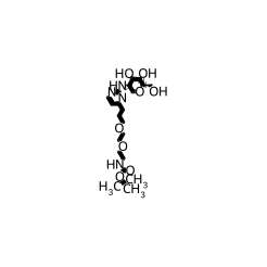 CC(C)(C)OC(=O)NCCOCCOCCCc1ccnc(N[C@H]2CO[C@H](CO)[C@H](O)[C@@H]2O)n1